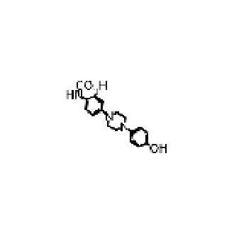 O=C(O)Nc1ccc(N2CCN(c3ccc(O)cc3)CC2)cc1